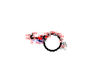 C[C@@H]1[C@H](O)[C@@H](C)/C=C/C=C/C=C/C=C/C=C/C=C/C=C/[C@H](O[C@@H]2O[C@H](C)[C@@H](O)[C@H](N)[C@@H]2O)C[C@@H]2O[C@](O)(C[C@@H](O)C[C@@H](O)[C@H](O)CC[C@@H](O)C[C@@H](O)CC(=O)O[C@H]1C)C[C@H](O)[C@H]2NC(=O)NCCCO[C@H]1O[C@H](CO)[C@@H](O)[C@H](O)[C@@H]1O